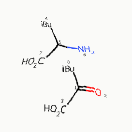 CCC(C)C(=O)C(=O)O.CCC(C)C(N)C(=O)O